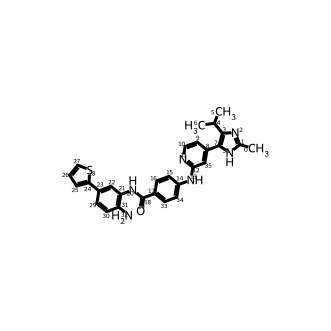 Cc1nc(C(C)C)c(-c2ccnc(Nc3ccc(C(=O)Nc4cc(-c5cccs5)ccc4N)cc3)c2)[nH]1